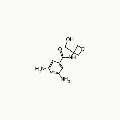 Nc1cc(N)cc(C(=O)NC2(CO)COC2)c1